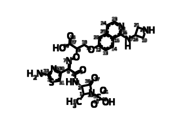 CC1[C@H](NC(=O)/C(=N\OC(COc2ccc3c(NC4CNC4)nccc3c2)C(=O)O)c2csc(N)n2)C(=O)N1S(=O)(=O)O